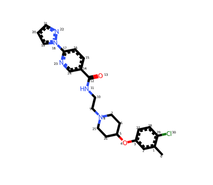 Cc1cc(OC2CCN(CCNC(=O)c3ccc(-n4cccn4)nc3)CC2)ccc1Cl